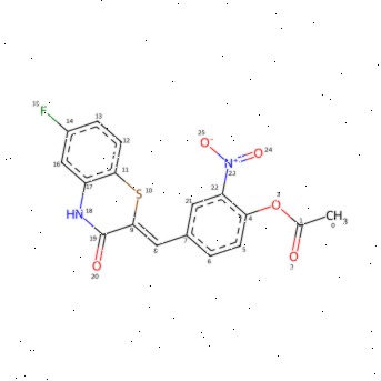 CC(=O)Oc1ccc(C=C2Sc3ccc(F)cc3NC2=O)cc1[N+](=O)[O-]